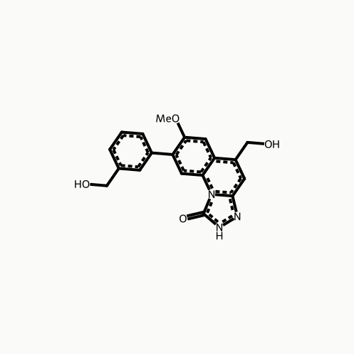 COc1cc2c(CO)cc3n[nH]c(=O)n3c2cc1-c1cccc(CO)c1